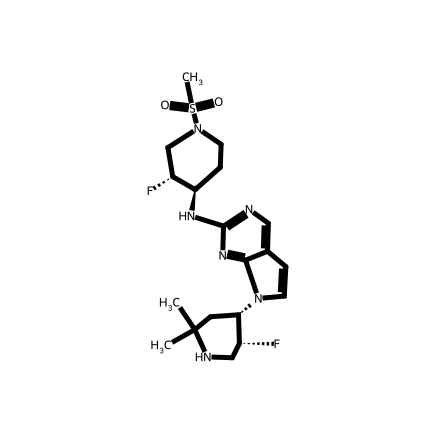 CC1(C)C[C@H](n2ccc3cnc(N[C@@H]4CCN(S(C)(=O)=O)C[C@H]4F)nc32)[C@H](F)CN1